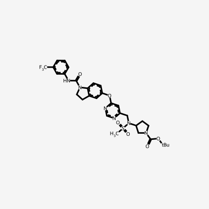 CC(C)(C)OC(=O)N1CCC(N(Cc2cc(Oc3ccc4c(c3)CCN4C(=O)Nc3cccc(C(F)(F)F)c3)ncn2)S(C)(=O)=O)C1